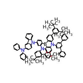 CC(C)(C)c1cc(-c2ccc3c(c2)N(c2cc(-c4ccccc4)cc(-c4ccccc4)c2)c2cc(C(C)(C)C)cc4c2B3c2ccc(-n3c5ccccc5c5cc(N(c6ccccc6)c6ccccc6)ccc53)cc2N4c2ccc(C(C)(C)C)cc2-c2ccccc2)cc(C(C)(C)C)c1